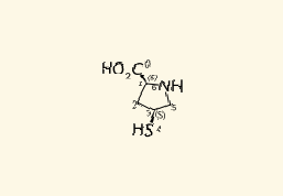 O=C(O)[C@@H]1C[C@H](S)CN1